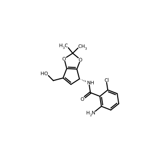 CC1(C)OC2=C(O1)[C@H](NC(=O)c1c(N)cccc1Cl)C=C2CO